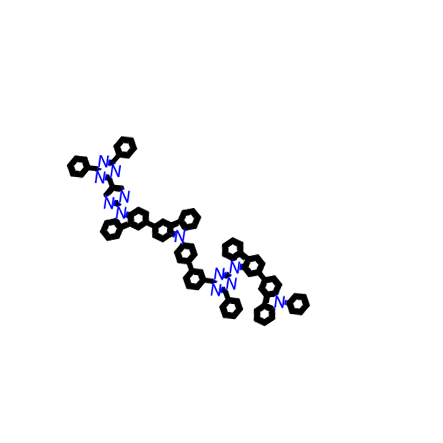 c1ccc(-c2nc(-c3ccccc3)nc(-c3cnc(-n4c5ccccc5c5cc(-c6ccc7c(c6)c6ccccc6n7-c6ccc(-c7cccc(-c8nc(-c9ccccc9)nc(-n9c%10ccccc%10c%10ccc(-c%11ccc%12c(c%11)c%11ccccc%11n%12-c%11ccccc%11)cc%109)n8)c7)cc6)ccc54)nc3)n2)cc1